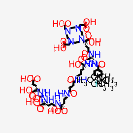 CC(C)(C)[Si](F)(c1ccc(C(=O)NC[C@@H](NC(=O)CC[C@@H](C(=O)O)N2CCN(CC(=O)O)CCN(CC(=O)O)CCN(CC(=O)O)CC2)C(=O)N[C@@H](CCCCNC(=O)CCC(=O)NCCC[C@H](NC(=O)CC[C@H](NC(=O)N[C@@H](CCC(=O)O)C(=O)O)C(=O)O)C(=O)O)C(=O)O)cc1)C(C)(C)C